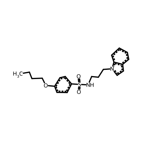 CCCCOc1ccc(S(=O)(=O)NCCCn2ccc3ccccc32)cc1